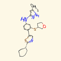 Cc1cc(Nc2ccc(-c3cnc(C4CCCCC4)s3)c(SC3CCOC3)c2)n[nH]1